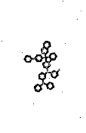 Clc1cccc(N(c2cccc(N(c3ccccc3)c3ccccc3)c2)c2ccc3c(c2)-c2ccccc2C3(c2ccc(-c3ccccc3)cc2)c2ccc3ccccc3c2)c1